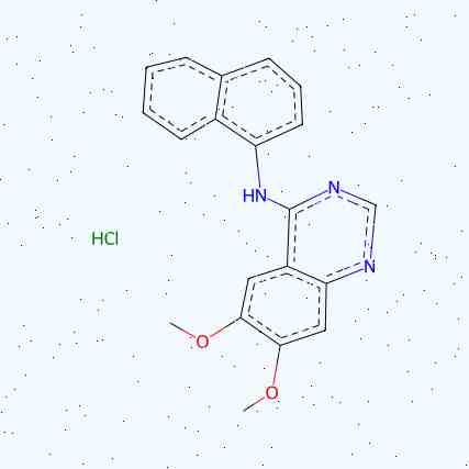 COc1cc2ncnc(Nc3cccc4ccccc34)c2cc1OC.Cl